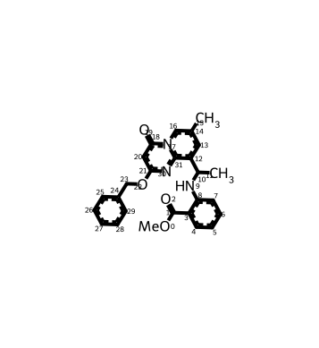 COC(=O)c1ccccc1NC(C)c1cc(C)cn2c(=O)cc(OCc3ccccc3)nc12